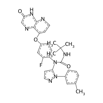 Cc1cccc(-n2nccc2N(C(=O)NC(C)(C)C)c2ccc(Oc3ccnc4[nH]c(=O)cnc34)cc2F)c1